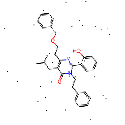 CC(C)Cc1c(CCOCc2ccccc2)nc(-c2ccccc2O)n(CCc2ccccc2)c1=O